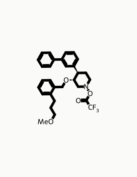 COCCCc1ccccc1CO[C@H]1CN(OC(=O)C(F)(F)F)CC[C@@H]1c1cccc(-c2ccccc2)c1